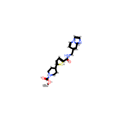 CC(C)(C)OC(=O)N1CCC(c2ccc(C(=O)NCc3ccn4ccnc4c3)s2)CC1